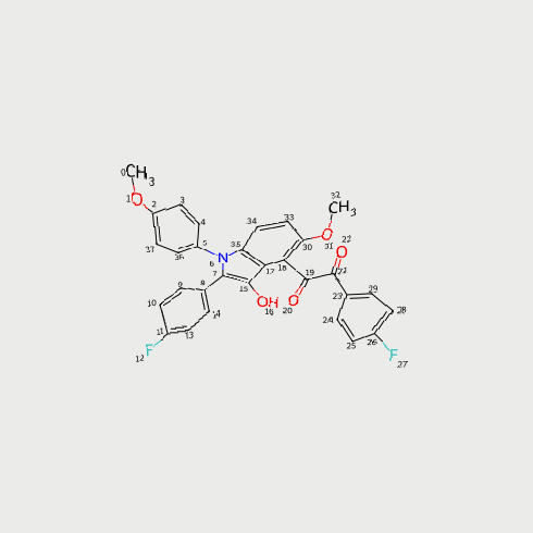 COc1ccc(-n2c(-c3ccc(F)cc3)c(O)c3c(C(=O)C(=O)c4ccc(F)cc4)c(OC)ccc32)cc1